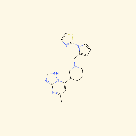 CC1=NC2=NCNN2C(C2CCCN(Cc3cccn3-c3nccs3)C2)=C1